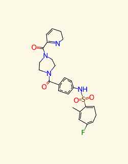 CC1=CC(F)=CCC=C1S(=O)(=O)Nc1ccc(C(=O)N2CCN(C(=O)C3=NCCC=C3)CC2)cc1